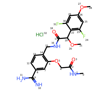 CNC(=O)COc1cc(C(=N)N)ccc1CNC(=O)C(OC)c1c(F)cc(OC)cc1F.Cl